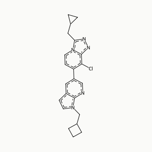 Clc1c(-c2cnc3c(ccn3CC3CCC3)c2)ccn2c(CC3CC3)nnc12